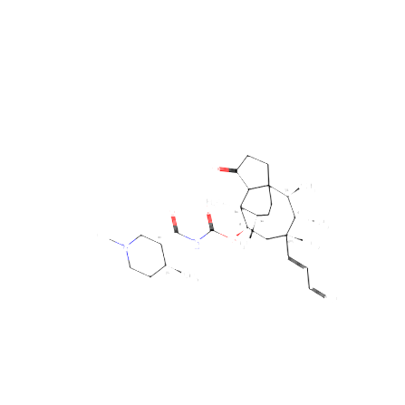 C=CC=C[C@]1(C)C[C@@H](OC(=O)NC(=O)[C@H]2CN(C)CC[C@@H]2C)[C@@]2(C)C3C(=O)CCC3(CC[C@H]2C)[C@@H](C)[C@@H]1C